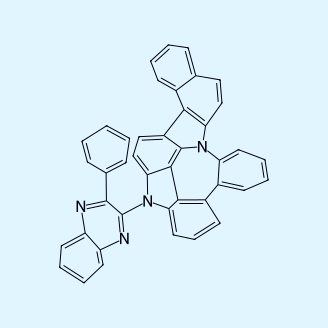 c1ccc(-c2nc3ccccc3nc2-n2c3cccc4c5ccccc5n5c6ccc7ccccc7c6c6ccc2c(c43)c65)cc1